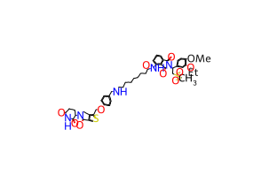 CCOc1cc(C(CS(C)(=O)=O)N2C(=O)c3cccc(NC(=O)CCCCCCCCNCc4ccc(OCc5scc6c5CN(C5CCC(=O)NC5=O)C6=O)cc4)c3C2=O)ccc1OC